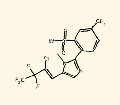 CCS(=O)(=O)c1cc(C(F)(F)F)ccc1-c1ncc(C=C(Cl)C(F)(F)C(F)(F)F)n1C